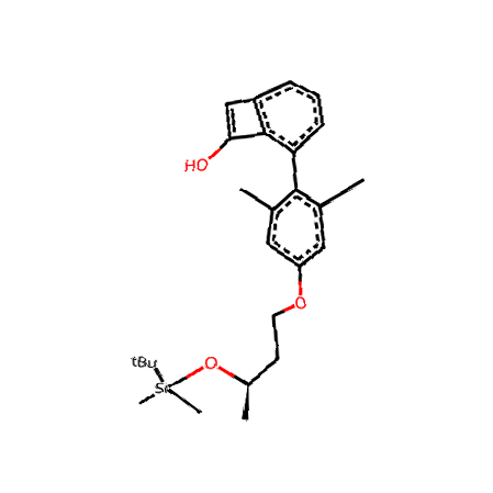 Cc1cc(OCC[C@@H](C)O[Si](C)(C)C(C)(C)C)cc(C)c1-c1cccc2c1C(O)=C2